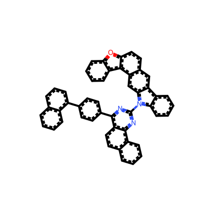 c1ccc2c(-c3ccc(-c4nc(-n5c6ccccc6c6cc7ccc8oc9ccccc9c8c7cc65)nc5c4ccc4ccccc45)cc3)cccc2c1